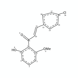 COc1cccc(O)c1C(=O)C=Cc1ccc(Cl)cc1